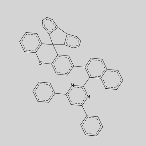 c1ccc(-c2cc(-c3ccccc3)nc(-c3c(-c4ccc5c(c4)C4(c6ccccc6S5)c5ccccc5-c5ccccc54)ccc4ccccc34)n2)cc1